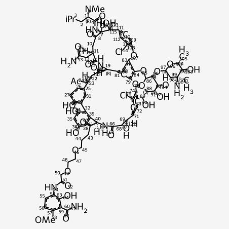 CN[C@H](CC(C)C)C(=O)N[C@H]1C(=O)C[C@@H](CC(N)=O)C(=O)N[C@H]2C(=O)C[C@@H](C(C)=O)c3ccc(O)c(c3)-c3c(O)cc(O)cc3[C@H](C(=O)CCCOCCOCC(=O)Nc3ccc(OC)c(C(N)=O)c3O)NC(=O)C[C@H](O)c3ccc(c(Cl)c3)Oc3cc2cc(c3OC2O[C@@H](CO)[C@@H](O)[C@H](O)[C@@H]2O[C@@H]2C[C@](C)(N)[C@H](O)[C@@H](C)O2)Oc2ccc(cc2Cl)[C@H]1O